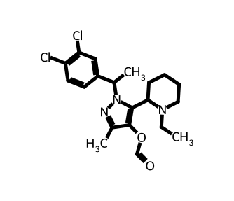 CCN1CCCCC1c1c(OC=O)c(C)nn1C(C)c1ccc(Cl)c(Cl)c1